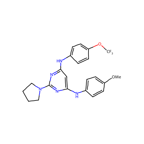 COc1ccc(Nc2cc(Nc3ccc(OC(F)(F)F)cc3)nc(N3CCCC3)n2)cc1